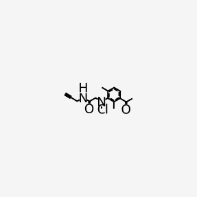 C#CCNC(=O)CN(Cl)c1c(C)ccc(C(C)=O)c1C